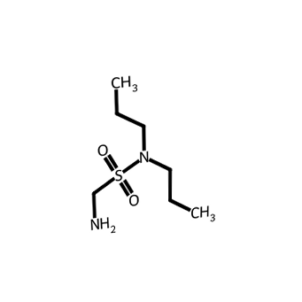 CCCN(CCC)S(=O)(=O)CN